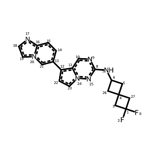 FC1(F)CC2(CC(Nc3ncc4c(-c5ccc6nccn6c5)ccn4n3)C2)C1